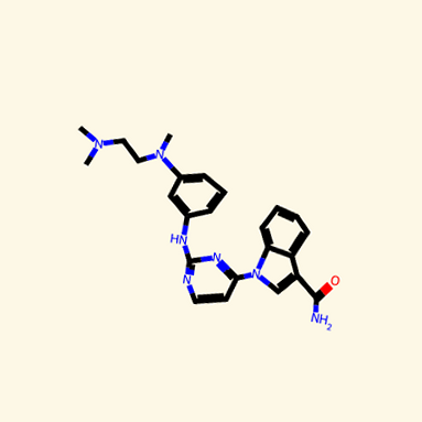 CN(C)CCN(C)c1cccc(Nc2nccc(-n3cc(C(N)=O)c4ccccc43)n2)c1